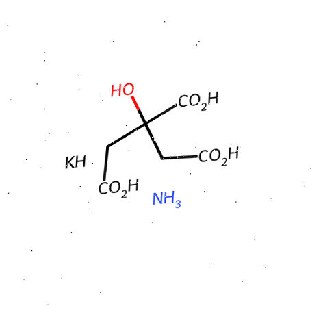 N.O=C(O)CC(O)(CC(=O)O)C(=O)O.[KH]